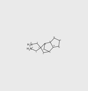 NCC1(CN)CC2CC1C1CCCC21